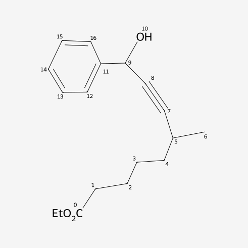 CCOC(=O)CCCCC(C)C#CC(O)c1ccccc1